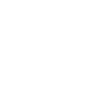 Brc1ccc2c(c1)C1(c3cc(Br)ccc3C=C2)c2ccccc2-c2cc3c(cc21)sc1ccccc13